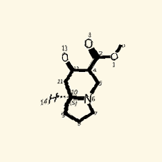 COC(=O)C1CN2CCC[C@H]2CC1=O